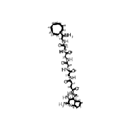 CNc1c(N)nc2ccccc2c1N(C)NC(=O)CCC(=O)NCC(=O)NCC(=O)NCC(=O)NCC(=O)NCC(N)c1ccccccccc1